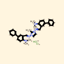 Cc1n(/N=C/c2cc(-c3ccccc3)ccc2N(C)C)cc[n+]1/N=C/c1cc(-c2ccccc2)ccc1N(C)C.Cl.[Cl-]